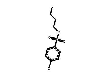 CCCCOS(=O)(=O)c1ccc(Cl)cc1